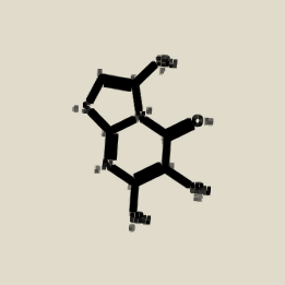 CC(C)(C)c1nc2scc(C(C)(C)C)n2c(=O)c1C(C)(C)C